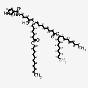 CCCCCCCCCCCOC(=O)CCCCCN(CCCCCCCC(=O)OC(CCCCCCCC)CCCCCCCC)CC(O)CCCNC(=O)c1cc[nH]c1